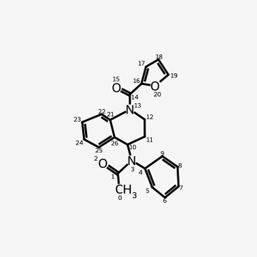 CC(=O)N(c1ccccc1)C1CCN(C(=O)c2ccco2)c2ccccc21